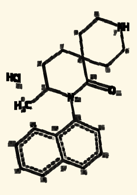 CC1CCC2(CCNCC2)C(=O)N1c1cccc2ccccc12.Cl